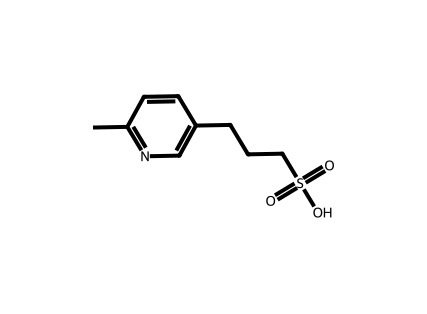 Cc1ccc(CCCS(=O)(=O)O)cn1